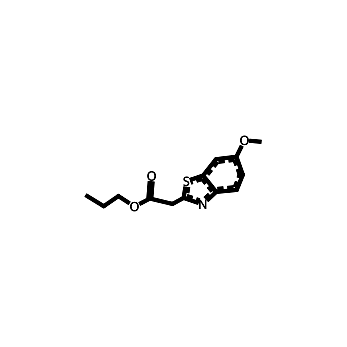 CCCOC(=O)Cc1nc2ccc(OC)cc2s1